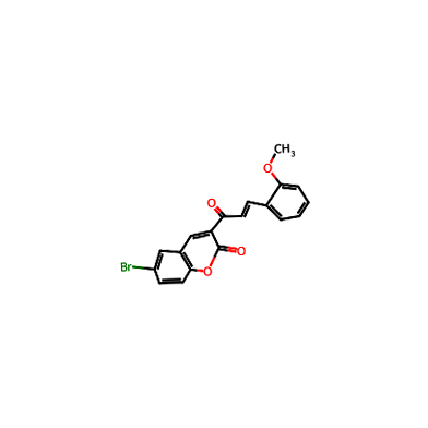 COc1ccccc1C=CC(=O)c1cc2cc(Br)ccc2oc1=O